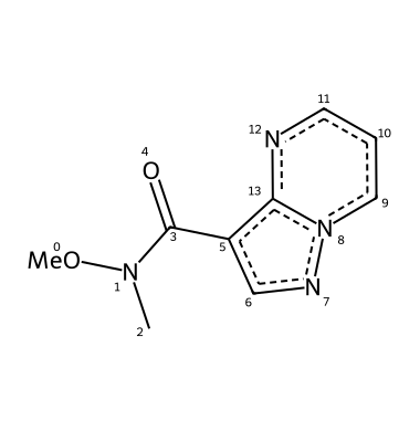 CON(C)C(=O)c1cnn2cccnc12